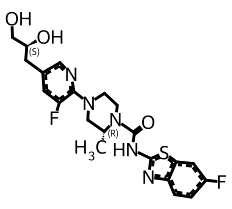 C[C@@H]1CN(c2ncc(C[C@H](O)CO)cc2F)CCN1C(=O)Nc1nc2ccc(F)cc2s1